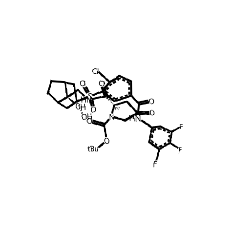 CC(C)(C)OC(=O)N1CC(=O)C[C@H]1C(=O)NC[C@]1(O)C2CCC1C[C@@](O)(S(=O)(=O)c1cc(C(=O)Nc3cc(F)c(F)c(F)c3)ccc1Cl)C2